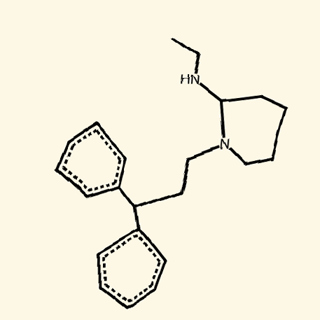 CCNC1CCCCN1CCC(c1ccccc1)c1ccccc1